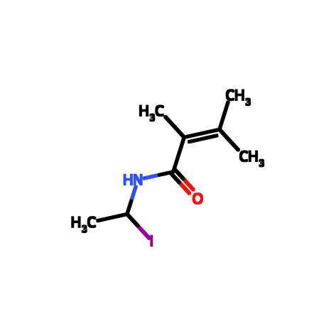 CC(C)=C(C)C(=O)NC(C)I